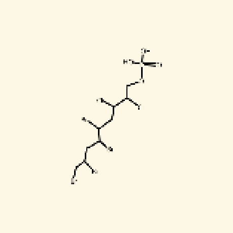 O=P(O)(O)OCC(Cl)C(Cl)CC(Br)C(Br)CC(Br)CBr